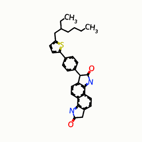 CCCCC(CC)Cc1ccc(-c2ccc(C3C(=O)N=c4c3ccc3c5c(ccc43)CC(=O)N=5)cc2)s1